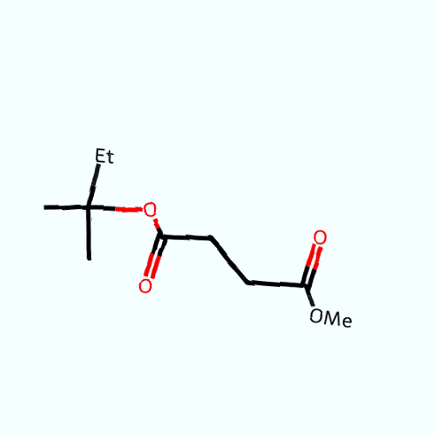 CCC(C)(C)OC(=O)CCC(=O)OC